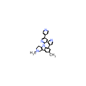 Cc1cc(-c2ccncc2)c2c(c1)c1c(n2-c2ccc(-c3ccncc3)cn2)CCN(C)C1